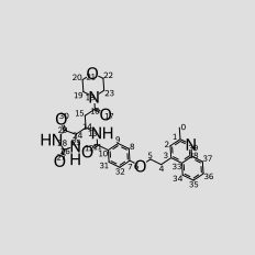 Cc1cc(CCOc2ccc(C(=O)NC(CC(=O)N3CCOCC3)C3NC(=O)NC3=O)cc2)c2ccccc2n1